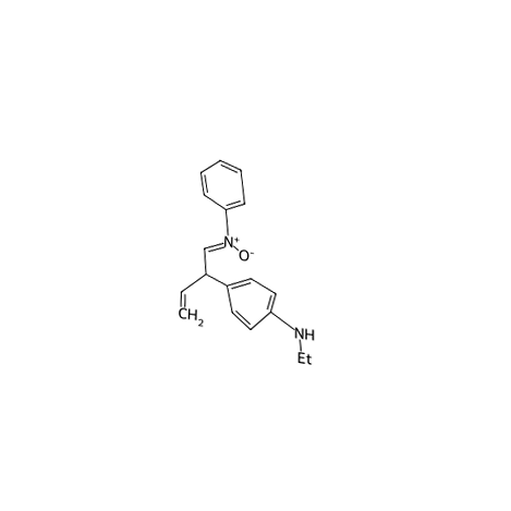 C=CC(C=[N+]([O-])c1ccccc1)c1ccc(NCC)cc1